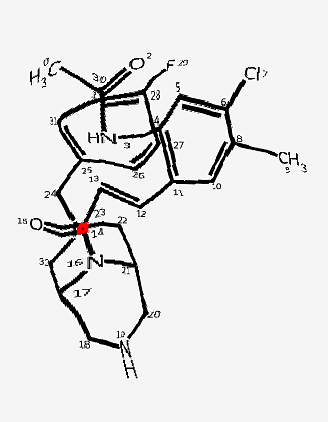 CC(=O)Nc1cc(Cl)c(C)cc1/C=C/C(=O)N1C2CNCC1CN(Cc1ccc(F)cc1)C2